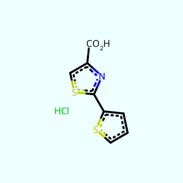 Cl.O=C(O)c1csc(-c2cccs2)n1